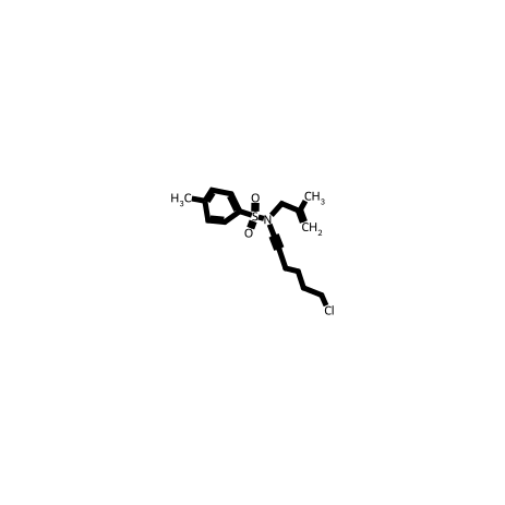 C=C(C)CN(C#CCCCCCl)S(=O)(=O)c1ccc(C)cc1